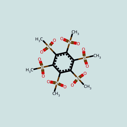 CS(=O)(=O)c1c(S(C)(=O)=O)c(S(C)(=O)=O)c(S(C)(=O)=O)c(S(C)(=O)=O)c1S(C)(=O)=O